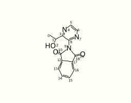 CC(O)c1nccnc1N1C(=O)c2ccccc2C1=O